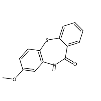 COc1ccc2c(c1)NC(=O)c1ccccc1S2